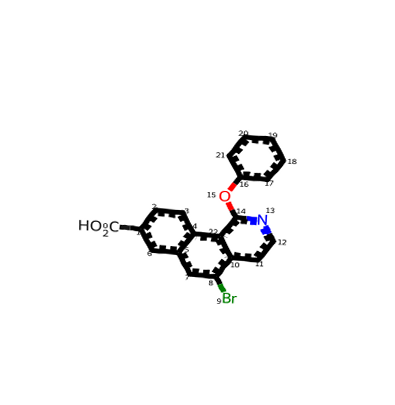 O=C(O)c1ccc2c(c1)cc(Br)c1ccnc(Oc3ccccc3)c12